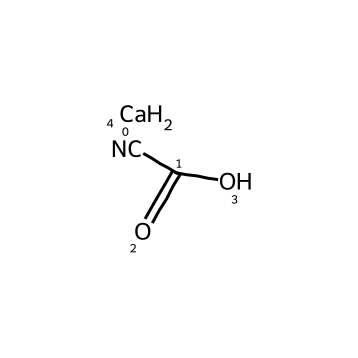 N#CC(=O)O.[CaH2]